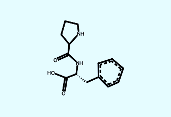 O=C(N[C@H](Cc1ccccc1)C(=O)O)C1CCCN1